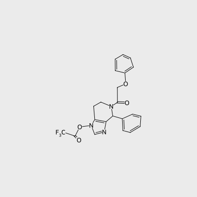 O=C(COc1ccccc1)N1CCc2c(ncn2OC(=O)C(F)(F)F)C1c1ccccc1